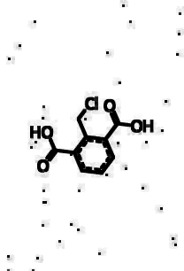 O=C(O)c1cccc(C(=O)O)c1CCl